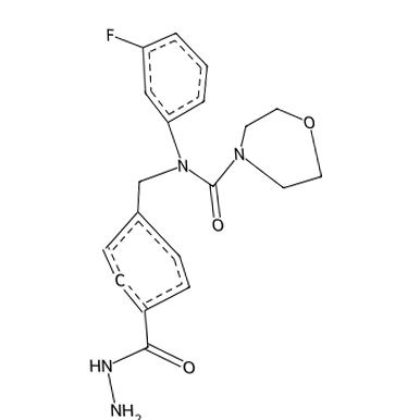 NNC(=O)c1ccc(CN(C(=O)N2CCOCC2)c2cccc(F)c2)cc1